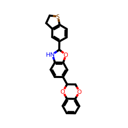 c1ccc2c(c1)OCC(c1ccc3c(c1)OC(c1ccc4c(c1)CCS4)N3)O2